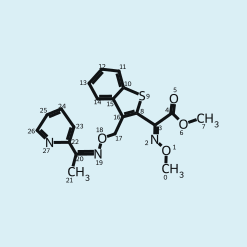 CON=C(C(=O)OC)c1sc2ccccc2c1CON=C(C)c1ccccn1